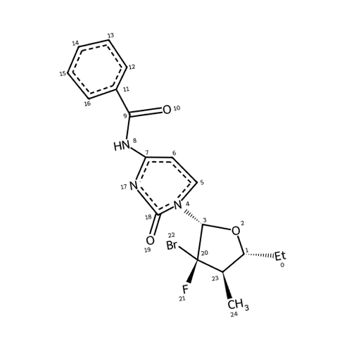 CC[C@H]1O[C@@H](n2ccc(NC(=O)c3ccccc3)nc2=O)[C@@](F)(Br)[C@@H]1C